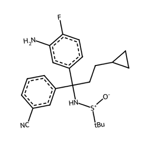 CC(C)(C)[S+]([O-])NC(CCC1CC1)(c1cccc(C#N)c1)c1ccc(F)c(N)c1